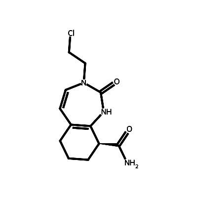 NC(=O)[C@H]1CCCC2=C1NC(=O)N(CCCl)C=C2